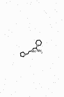 NC(CNCCN1CCCC1)N1CCCCC1